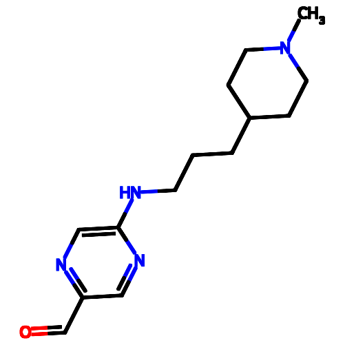 CN1CCC(CCCNc2cnc(C=O)cn2)CC1